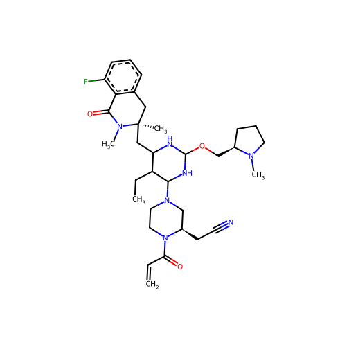 C=CC(=O)N1CCN(C2NC(OC[C@H]3CCCN3C)NC(C[C@]3(C)Cc4cccc(F)c4C(=O)N3C)C2CC)C[C@H]1CC#N